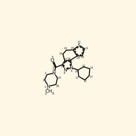 CN1CCN(C(=O)c2nn(C3CCCCC3)c3c2CCc2sccc2-3)CC1